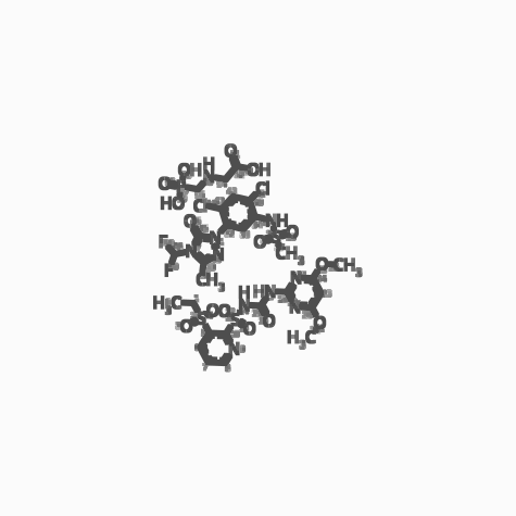 CCS(=O)(=O)c1cccnc1S(=O)(=O)NC(=O)Nc1nc(OC)cc(OC)n1.Cc1nn(-c2cc(NS(C)(=O)=O)c(Cl)cc2Cl)c(=O)n1C(F)F.O=C(O)CNCP(=O)(O)O